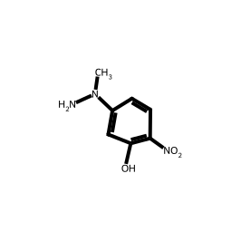 CN(N)c1ccc([N+](=O)[O-])c(O)c1